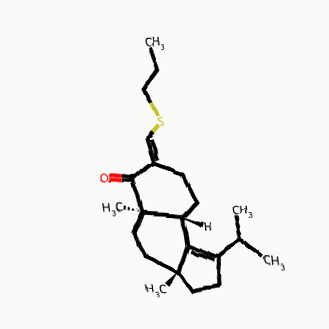 CCCS/C=C1\CC[C@@H]2C3=C(C(C)C)CC[C@]3(C)CC[C@@]2(C)C1=O